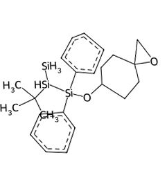 CC(C)(C)[SiH]([SiH3])[Si](OC1CCC2(CC1)CO2)(c1ccccc1)c1ccccc1